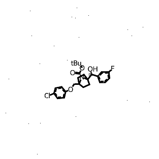 CC(C)(C)OC(=O)N1C2(COc3ccc(Cl)cc3)CCC1([C@@H](O)c1cccc(F)c1)CC2